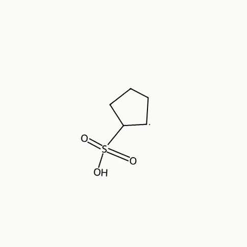 O=S(=O)(O)C1[CH]CCC1